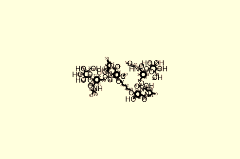 C=C1C[C@H]2C(O)N(C(=O)OCc3ccc(O[C@@H]4O[C@H](CO)[C@H](O)[C@H](O)[C@H]4O)c(C(=O)NCCOC)c3)c3cc(OCCCCCOc4cc5c(cc4OC)C(=O)N4CC(=C)C[C@H]4C(O)N5C(=O)OCc4ccc(O[C@@H]5O[C@H](CO)[C@H](O)[C@H](O)[C@H]5O)c(C(=O)NC(C)(C)C)c4)c(O)cc3C(=O)N2C1